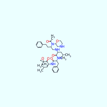 CC(=O)N(C(CCc1ccccc1)CNC(CC(C)C)C(=O)NC(Cc1ccccc1)C(=O)NC(CC(C)C)C(=O)C1(C)CO1)C1CNCCO1